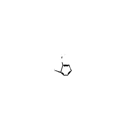 COc1ccccc1Cl.[Zn]